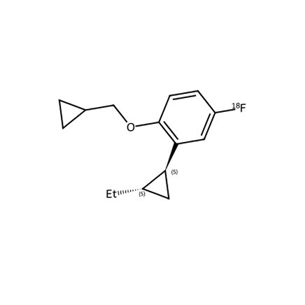 CC[C@H]1C[C@@H]1c1cc([18F])ccc1OCC1CC1